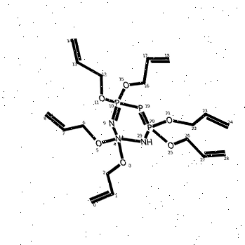 C=CCO[N+]1(OCC=C)N=P(OCC=C)(OCC=C)P=P(OCC=C)(OCC=C)N1